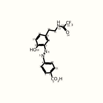 O=C(O)c1ccc(/N=N/c2cc(CCNC(=O)C(F)(F)F)ccc2O)cc1